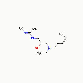 C/C=C\CCN(CC)CC(O)CN/C(C)=N/C